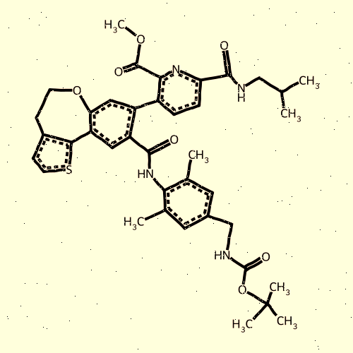 COC(=O)c1nc(C(=O)NCC(C)C)ccc1-c1cc2c(cc1C(=O)Nc1c(C)cc(CNC(=O)OC(C)(C)C)cc1C)-c1sccc1CCO2